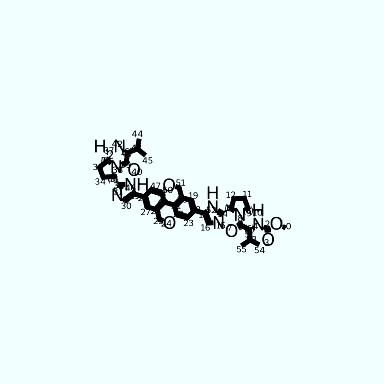 COC(=O)N[C@H](C(=O)N1[C@@H](C)CC[C@H]1c1ncc(-c2cc3c4c(c2)OCc2cc(-c5cnc([C@@H]6CC[C@H](C)N6C(=O)[C@@H](N)C(C)C)[nH]5)cc(c2-4)OC3)[nH]1)C(C)C